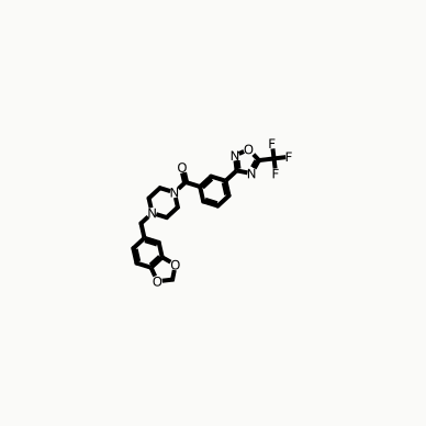 O=C(c1cccc(-c2noc(C(F)(F)F)n2)c1)N1CCN(Cc2ccc3c(c2)OCO3)CC1